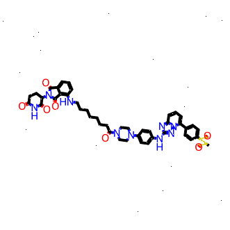 CS(=O)(=O)c1ccc(-c2cccc3nc(Nc4ccc(N5CCN(C(=O)CCCCCCCNc6cccc7c6C(=O)N(C6CCC(=O)NC6=O)C7=O)CC5)cc4)nn23)cc1